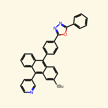 CC(C)(C)c1ccc2c(-c3ccc(-c4nnc(-c5ccccc5)o4)cc3)c3ccccc3c(-c3cccnc3)c2c1